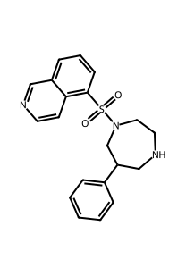 O=S(=O)(c1cccc2cnccc12)N1CCNCC(c2ccccc2)C1